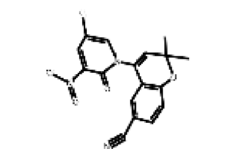 CC1(C)C=C(n2cc(Cl)cc([N+](=O)[O-])c2=O)c2cc(C#N)ccc2O1